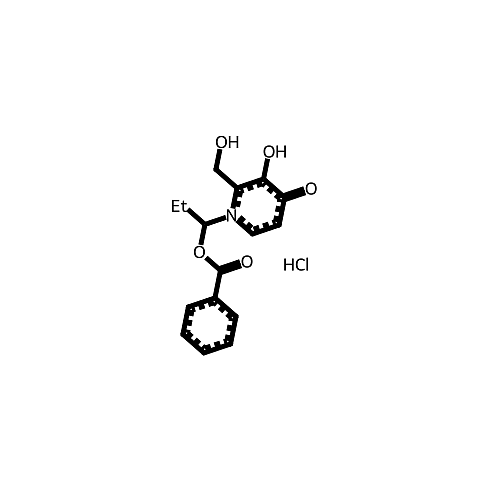 CCC(OC(=O)c1ccccc1)n1ccc(=O)c(O)c1CO.Cl